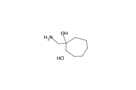 Cl.NCC1(O)CCCCCC1